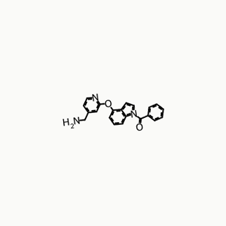 NCc1ccnc(Oc2cccc3c2ccn3C(=O)c2ccccc2)c1